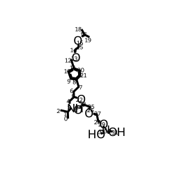 CC(C)NCC(CCc1ccc(COCCOC(C)C)cc1)OC(=O)COCCON(O)O